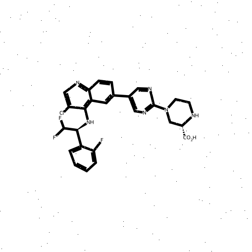 O=C(O)[C@@H]1CN(c2ncc(-c3ccc4ncc(Cl)c(N[C@@H](c5ccccc5F)C(F)F)c4c3)cn2)CCN1